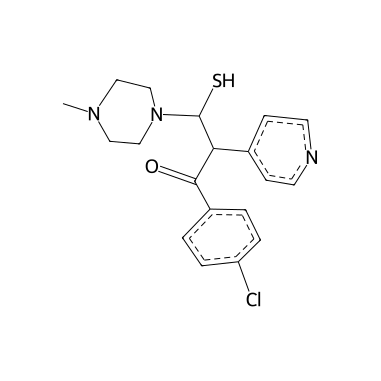 CN1CCN(C(S)C(C(=O)c2ccc(Cl)cc2)c2ccncc2)CC1